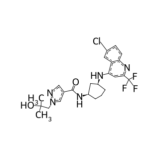 CC(C)(O)Cn1cc(C(=O)N[C@@H]2CCC[C@H](Nc3cc(C(F)(F)F)nc4ccc(Cl)cc34)C2)cn1